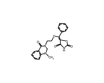 CN1CN(CCOC(=C2SC(=O)NC2=O)c2ccccc2)C(=O)c2ccccc21